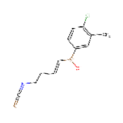 [O-][S+](C=CCCN=C=S)c1ccc(Cl)c(C(F)(F)F)c1